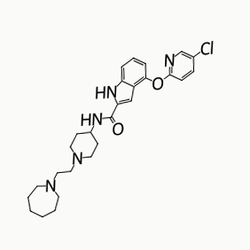 O=C(NC1CCN(CCN2CCCCCC2)CC1)c1cc2c(Oc3ccc(Cl)cn3)cccc2[nH]1